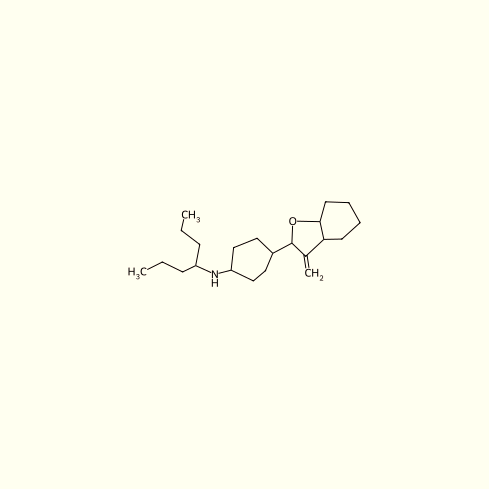 C=C1C2CCCCC2OC1C1CCC(NC(CCC)CCC)CC1